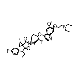 CCC(C(=O)[C@@]1(C(=O)NC2C=C(F)C(Oc3c#cnc4cc(OCCN(CC)CC)c(OC)cc34)CC2)C[C@@H]1C)c1ccc(F)cc1